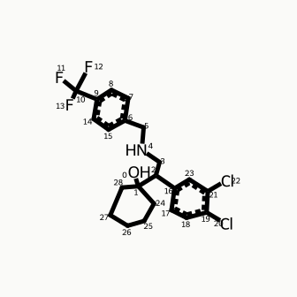 OC1(C(CNCc2ccc(C(F)(F)F)cc2)c2ccc(Cl)c(Cl)c2)CCCCC1